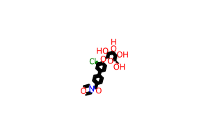 O=C(c1ccc(-c2ccc(O[C@@H]3O[C@H](CO)[C@@H](O)[C@H](O)[C@@H]3O)c(Cl)c2)cc1)N1CCOCC1